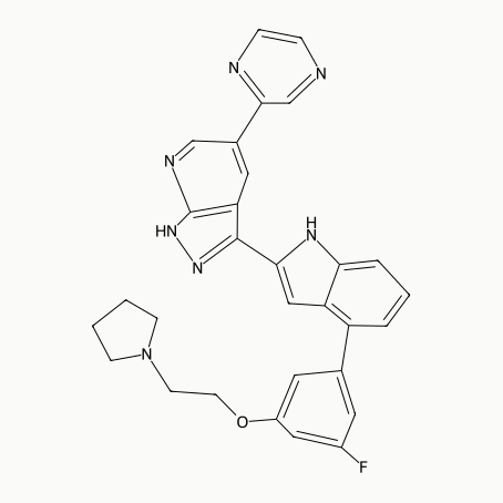 Fc1cc(OCCN2CCCC2)cc(-c2cccc3[nH]c(-c4n[nH]c5ncc(-c6cnccn6)cc45)cc23)c1